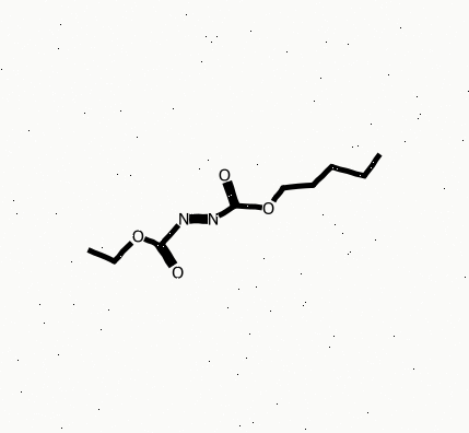 CCCCCOC(=O)/N=N/C(=O)OCC